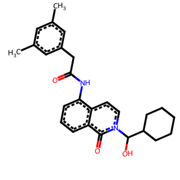 Cc1cc(C)cc(CC(=O)Nc2cccc3c(=O)n(C(O)C4CCCCC4)ccc23)c1